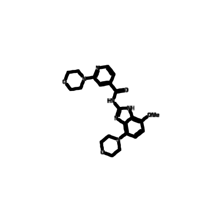 COc1ccc(N2CCOCC2)c2nc(NC(=O)c3ccnc(N4CCOCC4)c3)[nH]c12